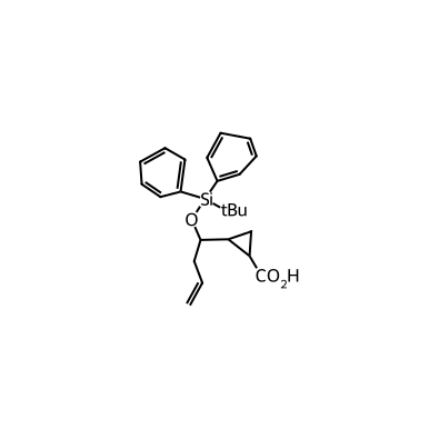 C=CCC(O[Si](c1ccccc1)(c1ccccc1)C(C)(C)C)C1CC1C(=O)O